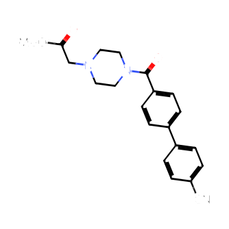 COC(=O)CN1CCN(C(=O)c2ccc(-c3ccc(C#N)cc3)cc2)CC1